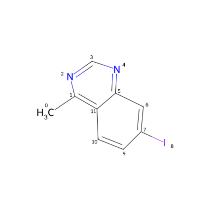 Cc1ncnc2cc(I)ccc12